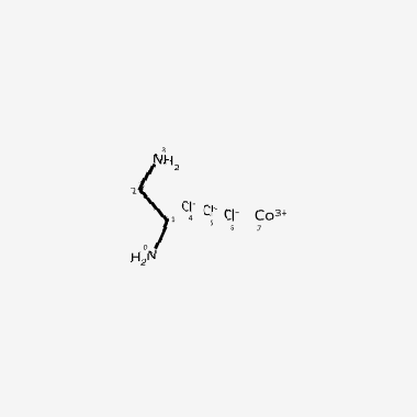 NCCN.[Cl-].[Cl-].[Cl-].[Co+3]